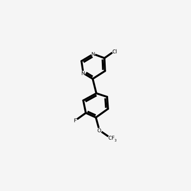 Fc1cc(-c2cc(Cl)ncn2)ccc1OC(F)(F)F